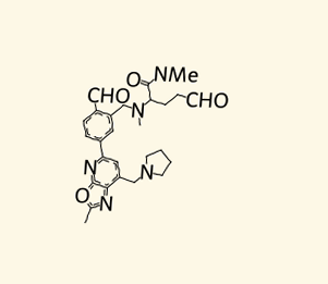 CNC(=O)C(CCC=O)N(C)Cc1cc(-c2cc(CN3CCCC3)c3nc(C)oc3n2)ccc1C=O